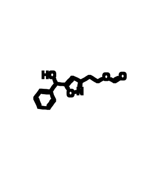 O=COCCc1cc(C(O)c2ccccc2)on1